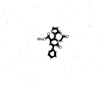 COC(=O)c1cc(-c2ccccc2)c(=O)n2c1-c1sccc1SC(Cl)C2